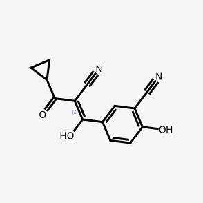 N#C/C(C(=O)C1CC1)=C(/O)c1ccc(O)c(C#N)c1